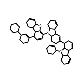 C1=CC(N2C3CCC=CC3C3C=CCC(C4=CC5C6C=CCCC6N(C6=C7SC8C=CCCC8C7C(C7=CC(C8CCCCC8)CCC7)C=C6)C5CC4)C32)CCC1